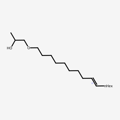 CCCCCC/C=C/CCCCCCCCOCC(C)O